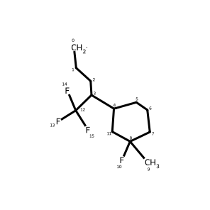 [CH2]CCC([C]1CCCC(C)(F)C1)C(F)(F)F